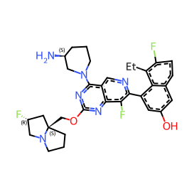 CCc1c(F)ccc2cc(O)cc(-c3ncc4c(N5CCC[C@H](N)C5)nc(OC[C@@]56CCCN5C[C@H](F)C6)nc4c3F)c12